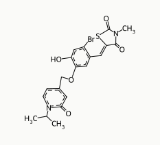 CC(C)n1ccc(COc2cc(/C=C3\SC(=O)N(C)C3=O)c(Br)cc2O)cc1=O